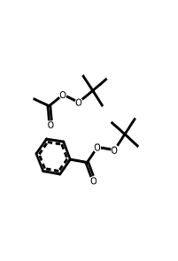 CC(=O)OOC(C)(C)C.CC(C)(C)OOC(=O)c1ccccc1